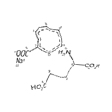 NC(CCC(=O)O)C(=O)O.O=C([O-])c1ccccc1.[Na+]